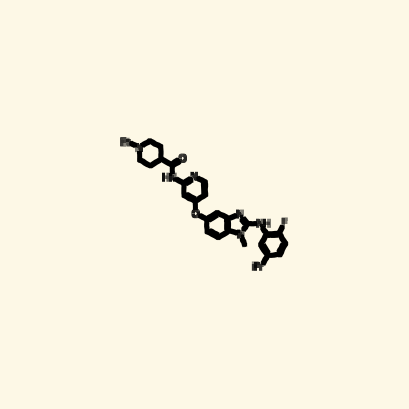 CCN1CCC(C(=O)Nc2cc(Oc3ccc4c(c3)nc(Nc3cc(C(C)C)ccc3F)n4C)ccn2)CC1